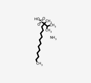 CCCCCCCCCCCCC(C)(C(C)C)S(=O)(=O)O.N